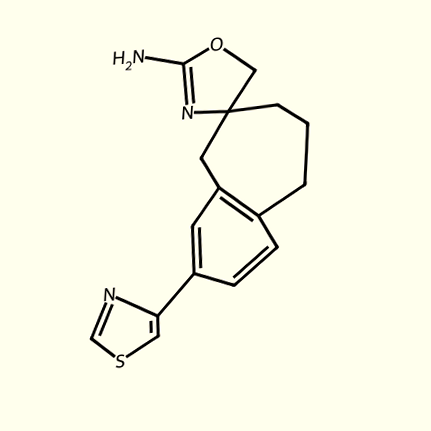 NC1=NC2(CCCc3ccc(-c4cscn4)cc3C2)CO1